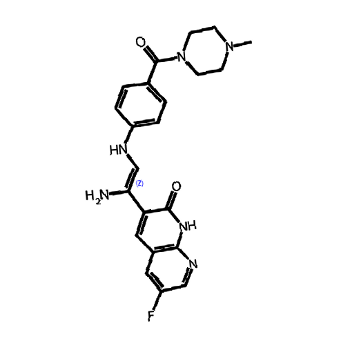 CN1CCN(C(=O)c2ccc(N/C=C(\N)c3cc4cc(F)cnc4[nH]c3=O)cc2)CC1